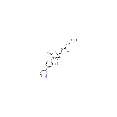 O=C(O)CCC(=O)OC[C@@H]1OC(=O)N2c3ccc(-c4cccnc4)cc3OC[C@@H]12